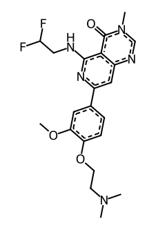 COc1cc(-c2cc3ncn(C)c(=O)c3c(NCC(F)F)n2)ccc1OCCN(C)C